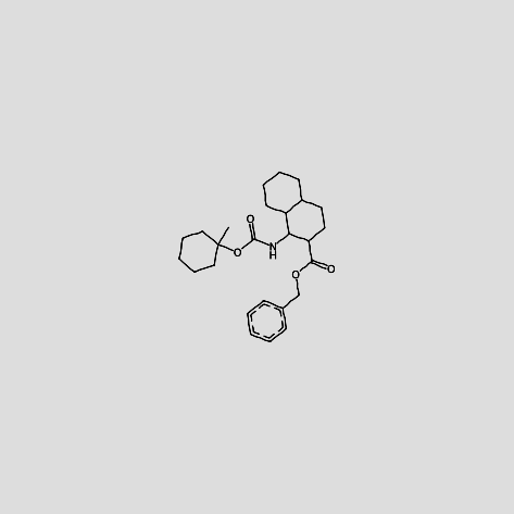 CC1(OC(=O)NC2C(C(=O)OCc3ccccc3)CCC3CCCCC32)CCCCC1